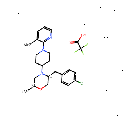 COc1cccnc1N1CCC(N2C[C@H](C)OC[C@@H]2Cc2ccc(Cl)cc2)CC1.O=C(O)C(F)(F)F